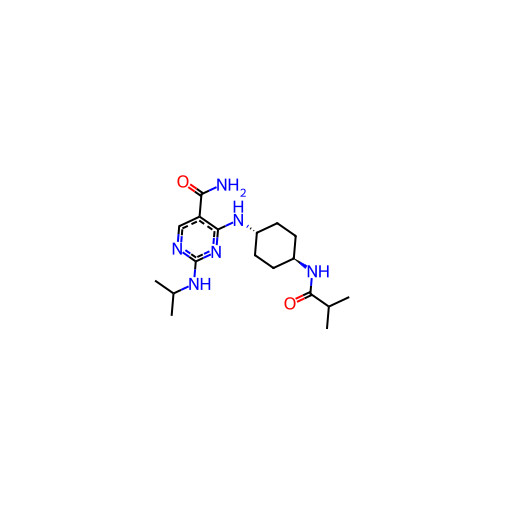 CC(C)Nc1ncc(C(N)=O)c(N[C@H]2CC[C@H](NC(=O)C(C)C)CC2)n1